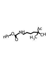 CCCOC(=O)NCCCCC(C)(C)C(C)=O